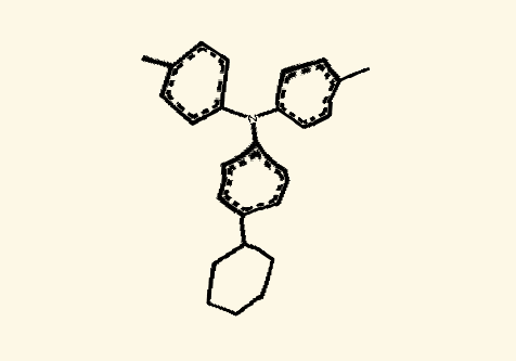 Cc1ccc(N(c2ccc(C)cc2)c2ccc(C3CCCCC3)cc2)cc1